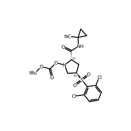 CC(C)(C)OC(=O)ON1C[C@H](S(=O)(=O)c2c(Cl)cccc2Cl)C[C@H]1C(=O)NC1(C#N)CC1